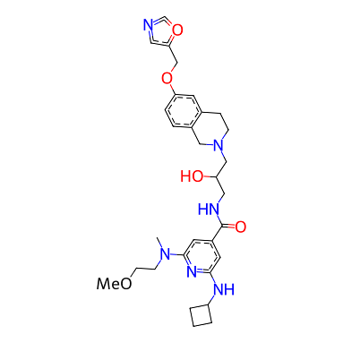 COCCN(C)c1cc(C(=O)NCC(O)CN2CCc3cc(OCc4cnco4)ccc3C2)cc(NC2CCC2)n1